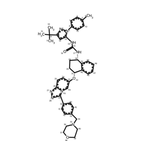 Cc1ccc(-n2nc(C(C)(C)C)cc2NC(=O)N[C@H]2CC[C@@H](Oc3ccc4nnc(-c5ccc(CN6CCOCC6)cc5)n4c3)c3ccccc32)cc1